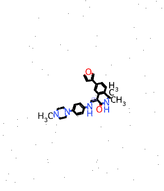 CN1CCN(c2ccc(N/C=C3\C(=O)NC(C)(C)c4ccc(-c5ccoc5)cc43)cc2)CC1